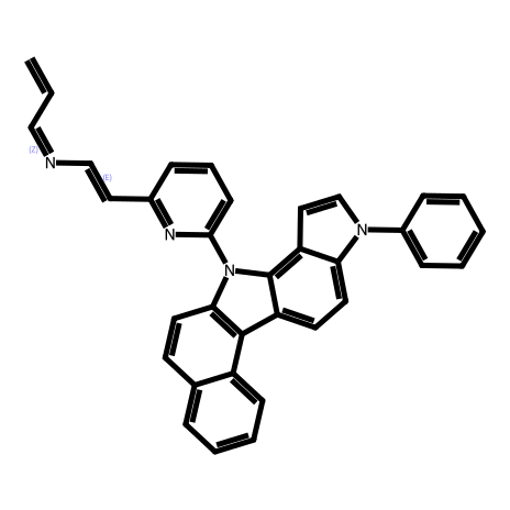 C=C/C=N\C=C\c1cccc(-n2c3ccc4ccccc4c3c3ccc4c(ccn4-c4ccccc4)c32)n1